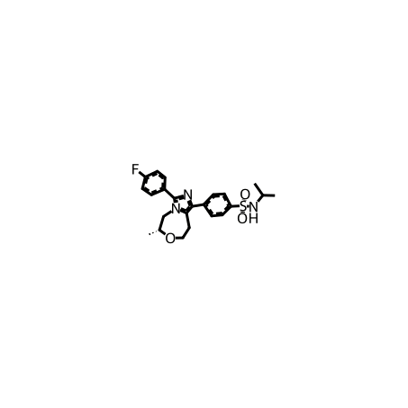 CC(C)NS(=O)(=O)c1ccc(-c2nc(-c3ccc(F)cc3)n3c2CCO[C@H](C)C3)cc1